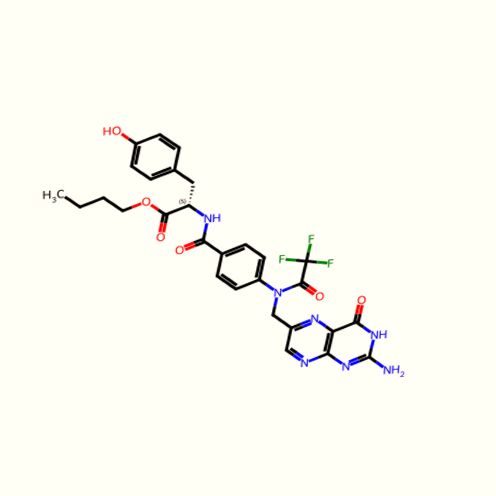 CCCCOC(=O)[C@H](Cc1ccc(O)cc1)NC(=O)c1ccc(N(Cc2cnc3nc(N)[nH]c(=O)c3n2)C(=O)C(F)(F)F)cc1